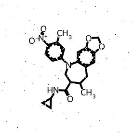 Cc1cc(N2CC(C(=O)NC3CC3)C(C)Cc3cc4c(cc32)OCO4)ccc1[N+](=O)[O-]